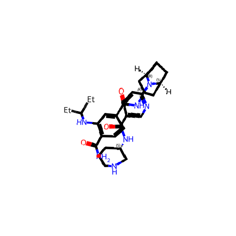 CCC(CC)Nc1cc(C(=O)N[C@H]2C[C@H]3CC[C@@H](C2)N3c2ccc(C(=O)N[C@H]3CCCNC3)cn2)ccc1C(N)=O